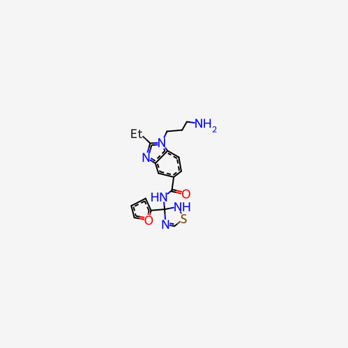 CCc1nc2cc(C(=O)NC3(c4ccco4)N=CSN3)ccc2n1CCCN